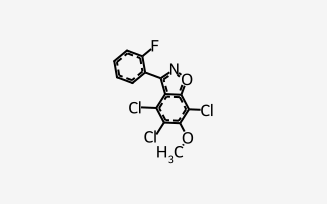 COc1c(Cl)c(Cl)c2c(-c3ccccc3F)noc2c1Cl